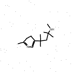 CNC(C)(C)CC(C)(C)C1=CN=C(C)CC1